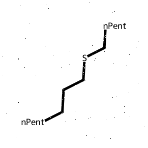 [CH2]CCCCCSCCCCCCCC